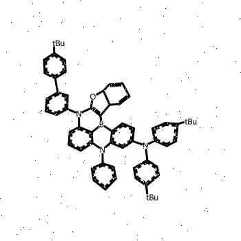 CC(C)(C)c1ccc(-c2cccc(N3C4=C(B5c6ccc(N(c7ccc(C(C)(C)C)cc7)c7ccc(C(C)(C)C)cc7)cc6N(c6ccccc6)c6cccc3c65)C3C=CC=CC3O4)c2)cc1